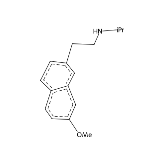 COc1ccc2ccc(CCNC(C)C)cc2c1